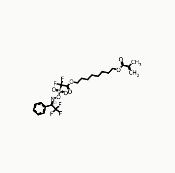 C=C(C)C(=O)OCCCCCCCCOC(=O)C(F)(F)S(=O)(=O)O/N=C(/c1ccccc1)C(F)(F)F